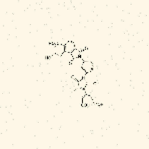 O=C(O)c1ccc2c(c1CCO)C(=O)N(c1cccc(N3C(=O)c4ccc(C(=O)O)c(CCO)c4C3=O)c1)C2=O